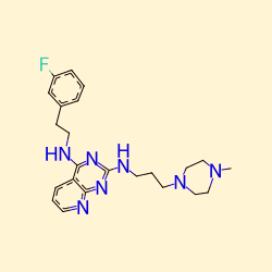 CN1CCN(CCCNc2nc(NCCc3cccc(F)c3)c3cccnc3n2)CC1